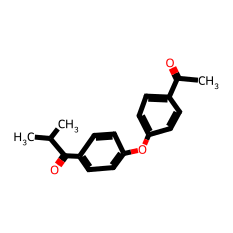 CC(=O)c1ccc(Oc2ccc(C(=O)C(C)C)cc2)cc1